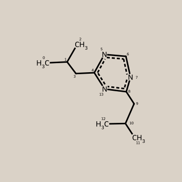 CC(C)Cc1ncnc(CC(C)C)n1